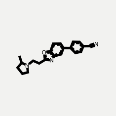 CC1CCCN1CCc1nc2cc(-c3ccc(C#N)cc3)ccc2o1